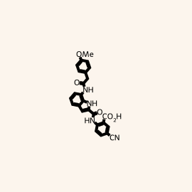 COc1ccc(CC(=O)Nc2cccc3cc(C(=O)Nc4ccc(C#N)cc4C(=O)O)[nH]c23)cc1